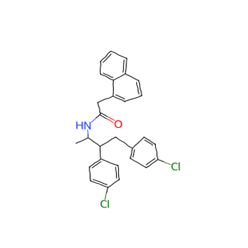 CC(NC(=O)Cc1cccc2ccccc12)C(Cc1ccc(Cl)cc1)c1ccc(Cl)cc1